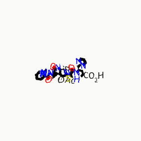 CC(=O)O[C@H](C[C@H](C(C)C)N(C)C(=O)C1(NC(=O)[C@H]2CCCCN2C)CC1)c1nc(C(=O)N[C@@H](Cc2ncccn2)C[C@H](C)C(=O)O)cs1